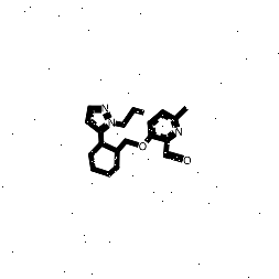 CCCn1nccc1C1CCCCC1COc1ccc(C)nc1C=O